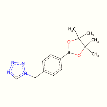 CC1(C)OB(c2ccc(Cn3cnnn3)cc2)OC1(C)C